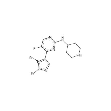 CCc1ncc(-c2nc(NC3CCNCC3)ncc2F)n1C(C)C